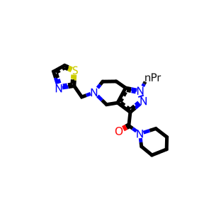 CCCn1nc(C(=O)N2CCCCC2)c2c1CCN(Cc1nccs1)C2